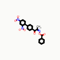 C/C(=N/OC(=O)c1ccccc1)C(=O)c1ccc(-c2ccc([N+](=O)[O-])cc2[N+](=O)[O-])cc1